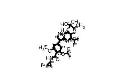 COc1cc(-c2cnn3cc(O[C@@H](C)C(C)(C)O)c(C(F)F)nc23)cc(OC(F)F)c1C(=O)N[C@@H]1C[C@@H]1F